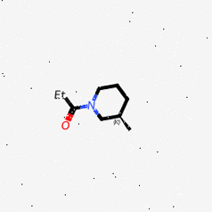 CCC(=O)N1CCC[C@@H](C)C1